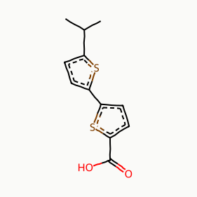 CC(C)c1ccc(-c2ccc(C(=O)O)s2)s1